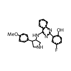 COc1ccc(C2CNCC2Nc2nc(-c3cc(F)ccc3O)nc3ccccc23)cc1